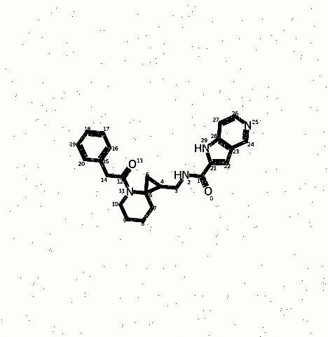 O=C(NCC1CC12CCCCN2C(=O)Cc1ccccc1)c1cc2cnccc2[nH]1